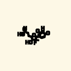 C[C@]1(F)C(n2ccc(=O)[nH]c2=O)OC(CC[PH](=O)O)[C@H]1O